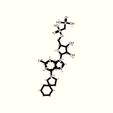 O=P(O)(O)CP(=O)(O)OCC1OC(n2cnc3c(N4CCC5(CCCCC5)C4)nc(Cl)nc32)C(O)C1O